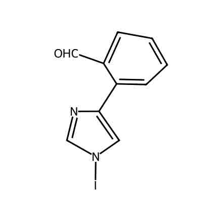 O=Cc1ccccc1-c1cn(I)cn1